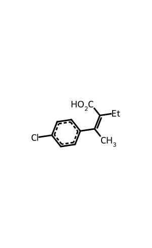 CC/C(C(=O)O)=C(\C)c1ccc(Cl)cc1